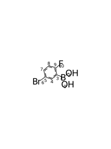 OB(O)c1cc(Br)ccc1F